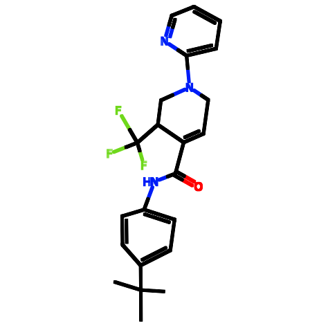 CC(C)(C)c1ccc(NC(=O)C2=CCN(c3ccccn3)CC2C(F)(F)F)cc1